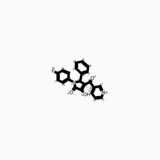 O=C(C1=C(O)C(=O)N(c2ccc(F)cc2)C1c1ccccc1)c1cccnc1